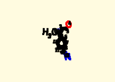 C/C(=C/C=O)c1ccc(C#N)cc1